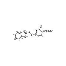 CC(=O)Nc1ccc(OCc2nc3ccccc3s2)cc1Cl